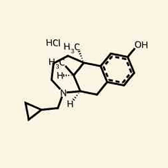 C[C@@H]1[C@H]2Cc3ccc(O)cc3[C@]1(C)CCCN2CC1CC1.Cl